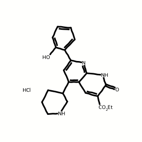 CCOC(=O)c1cc2c(C3CCCNC3)cc(-c3ccccc3O)nc2[nH]c1=O.Cl